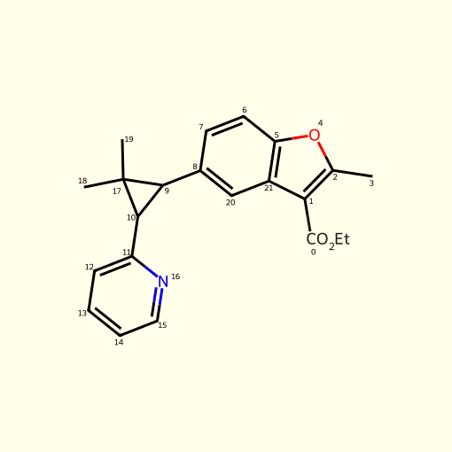 CCOC(=O)c1c(C)oc2ccc(C3C(c4ccccn4)C3(C)C)cc12